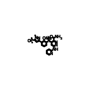 COc1c(Nc2cc(Nc3ccccn3)nnc2C(N)=O)cccc1-c1cc(P(C)(C)=O)n(C)n1